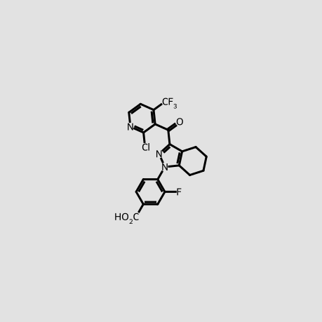 O=C(O)c1ccc(-n2nc(C(=O)c3c(C(F)(F)F)ccnc3Cl)c3c2CCCC3)c(F)c1